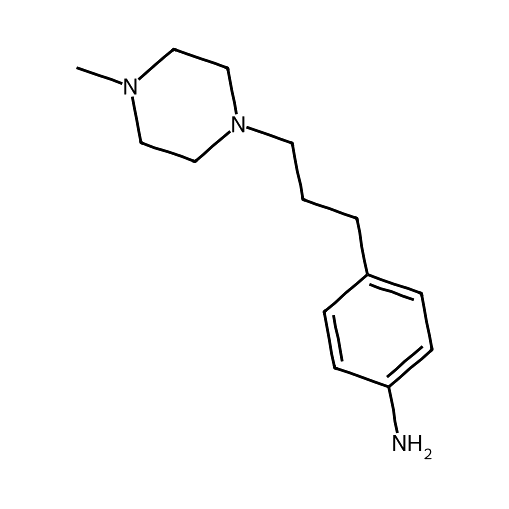 CN1CCN(CCCc2ccc(N)cc2)CC1